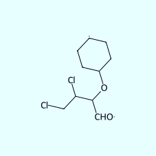 O=[C]C(OC1CC[CH]CC1)C(Cl)CCl